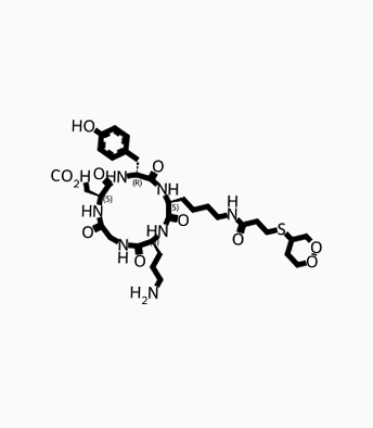 NCCC[C@@H]1NC(=O)[C@H](CCCCNC(=O)CCSC2CCOOC2)NC(=O)[C@@H](Cc2ccc(O)cc2)NC(=O)[C@H](CC(=O)O)NC(=O)CNC1=O